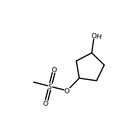 CS(=O)(=O)OC1CCC(O)C1